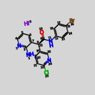 I.Nc1ncccc1[C@@H](C(=O)Nc1ccc(Br)cc1)c1ccc(Cl)nc1